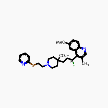 COc1ccc2ncc(C)c([C@@H](F)CCC3(C(=O)O)CCN(CCSc4ccccn4)CC3)c2c1